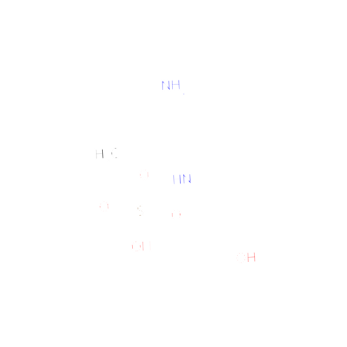 COS(=O)(=O)O.NCCNCCO